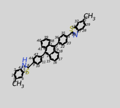 Cc1ccc2c(c1)SC(c1ccc(-c3c4ccccc4c(-c4ccc(-c5nc6ccc(C)cc6s5)cc4)c4ccccc34)cc1)N2